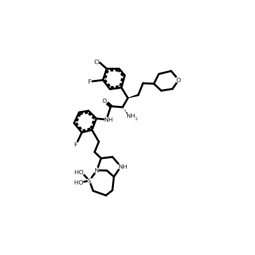 N[C@H](C(=O)Nc1cccc(F)c1CCC1CNC2CCCS(O)(O)N1C2)[C@H](CCC1CCOCC1)c1ccc(Cl)c(F)c1